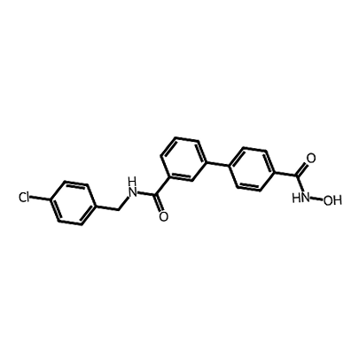 O=C(NO)c1ccc(-c2cccc(C(=O)NCc3ccc(Cl)cc3)c2)cc1